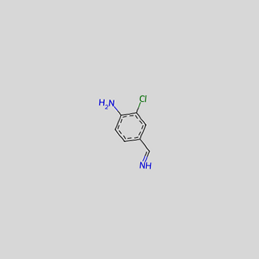 N=Cc1ccc(N)c(Cl)c1